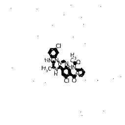 CC(=O)NC1CCCN1C(=O)c1cc2ncnc(N[C@@H](C)c3nc4cc(Cl)ccc4[nH]3)c2cc1Cl